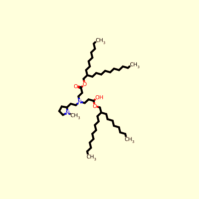 CCCCCCCCCCC(CCCCCCCC)COC(=O)CCN(CCC(O)OCC(CCCCCCCC)CCCCCCCCCC)CCC1CCCN1C